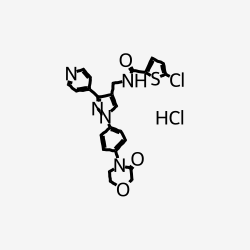 Cl.O=C(NCc1cn(-c2ccc(N3CCOCC3=O)cc2)nc1-c1ccncc1)c1ccc(Cl)s1